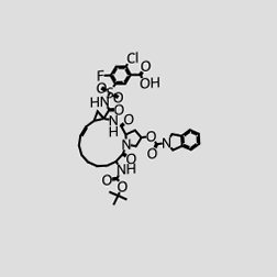 CC(C)(C)OC(=O)NC1CCCCCC=CC2CC2(C(=O)NS(=O)(=O)c2cc(C(=O)O)c(Cl)cc2F)NC(=O)C2CC(OC(=O)N3Cc4ccccc4C3)CN2C1=O